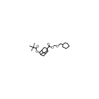 CC(F)(F)C(=O)OC1C2CC3CC1CC(C(=O)OCOCC1CCCCC1)(C3)C2